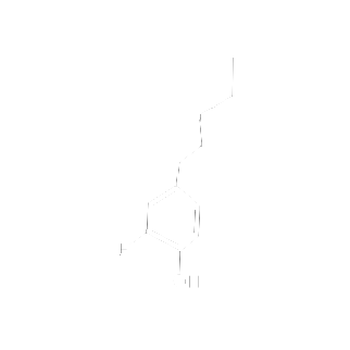 CCCCCc1ccc(O)c(F)c1